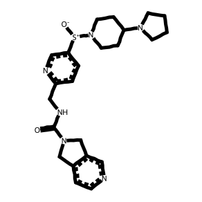 O=C(NCc1ccc([S+]([O-])N2CCC(N3CCCC3)CC2)cn1)N1Cc2ccncc2C1